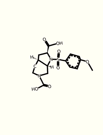 COc1ccc(S(=O)(=O)N2[C@H](C(=O)O)C[C@@H]3CCN(C(=O)O)C[C@@H]32)cc1